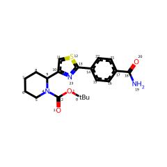 CC(C)(C)OC(=O)N1CCCCC1c1csc(-c2ccc(C(N)=O)cc2)n1